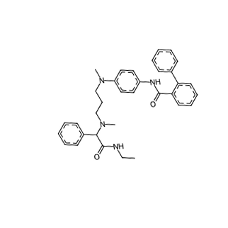 CCNC(=O)C(c1ccccc1)N(C)CCCN(C)c1ccc(NC(=O)c2ccccc2-c2ccccc2)cc1